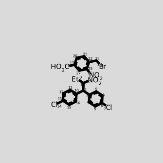 CCC(C(c1ccc(Cl)cc1)c1ccc(Cl)cc1)[N+](=O)[O-].O=C(O)c1ccc(CBr)c([N+](=O)[O-])c1